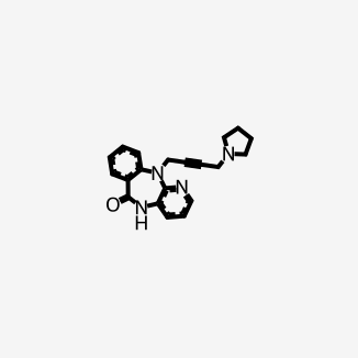 O=C1Nc2cccnc2N(CC#CCN2CCCC2)c2ccccc21